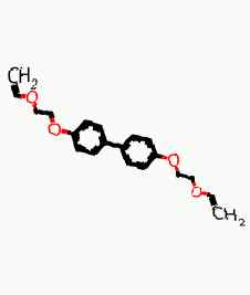 C=COCCOc1ccc(-c2ccc(OCCOC=C)cc2)cc1